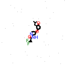 CC1COc2ccc(Oc3ccnc(NC(=O)C4CC4(F)F)c3)cc2C1